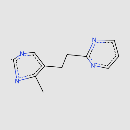 Cc1n[c]ncc1CCc1ncccn1